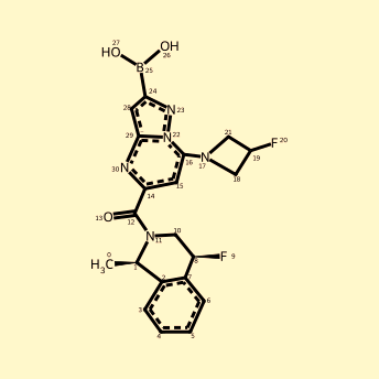 C[C@@H]1c2ccccc2[C@H](F)CN1C(=O)c1cc(N2CC(F)C2)n2nc(B(O)O)cc2n1